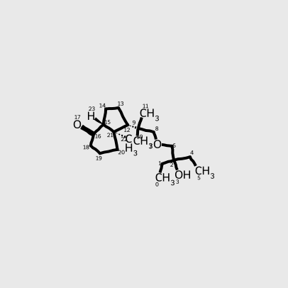 CCC(O)(CC)COCC(C)(C)[C@H]1CC[C@H]2C(=O)CCC[C@]12C